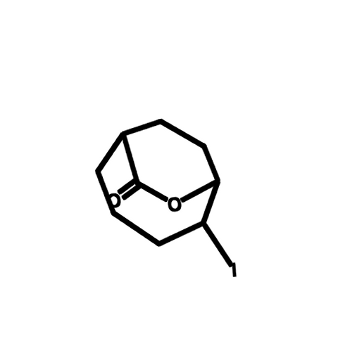 O=C1OC2CCC1CCCC2I